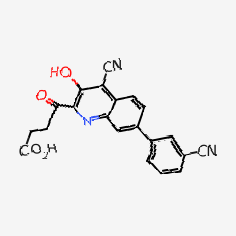 N#Cc1cccc(-c2ccc3c(C#N)c(O)c(C(=O)CCC(=O)O)nc3c2)c1